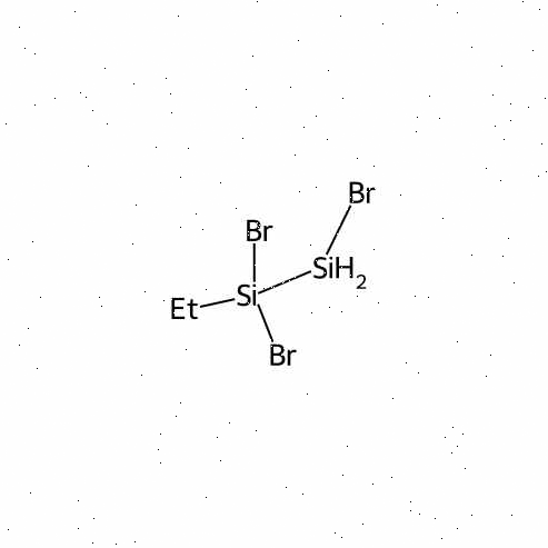 CC[Si](Br)(Br)[SiH2]Br